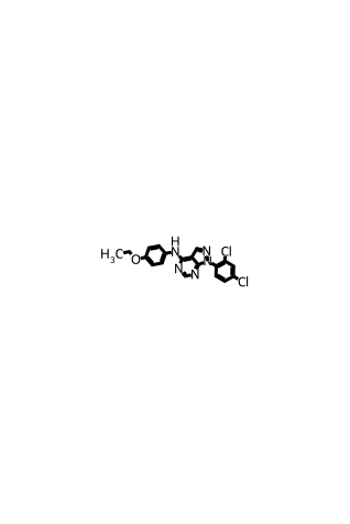 CCOc1ccc(Nc2ncnc3c2cnn3-c2ccc(Cl)cc2Cl)cc1